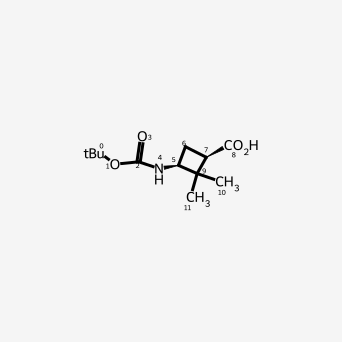 CC(C)(C)OC(=O)N[C@H]1C[C@@H](C(=O)O)C1(C)C